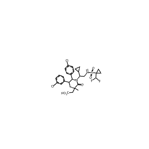 CC1(CC(=O)O)CC(c2cccc(Cl)c2)C(c2ccc(Cl)cc2)N(C(CNS(=O)(=O)C2(C(F)F)CC2)C2CC2)C1=O